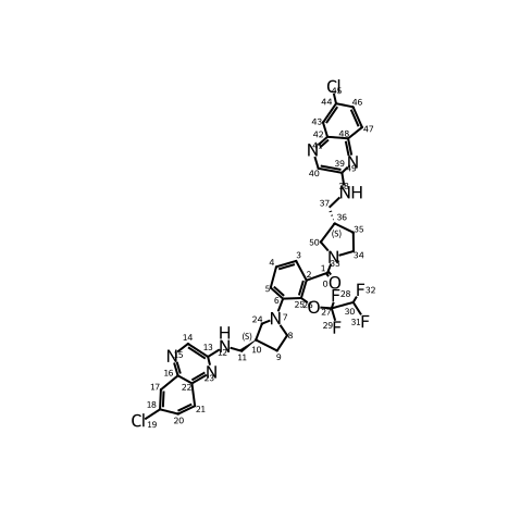 O=C(c1cccc(N2CC[C@@H](CNc3cnc4cc(Cl)ccc4n3)C2)c1OC(F)(F)C(F)F)N1CC[C@@H](CNc2cnc3cc(Cl)ccc3n2)C1